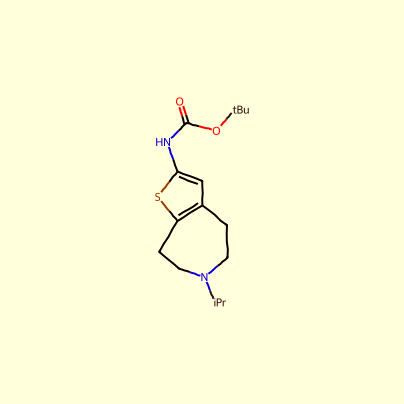 CC(C)N1CCc2cc(NC(=O)OC(C)(C)C)sc2CC1